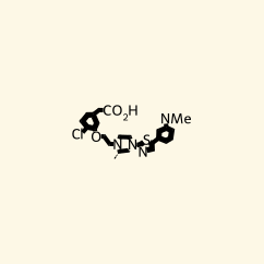 CNc1cccc(-c2cnc(N3CCN(CCOc4cc(CC(=O)O)ccc4Cl)[C@@H](C)C3)s2)c1